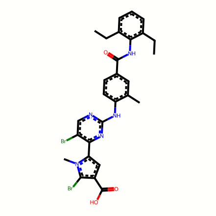 CCc1cccc(CC)c1NC(=O)c1ccc(Nc2ncc(Br)c(-c3cc(C(=O)O)c(Br)n3C)n2)c(C)c1